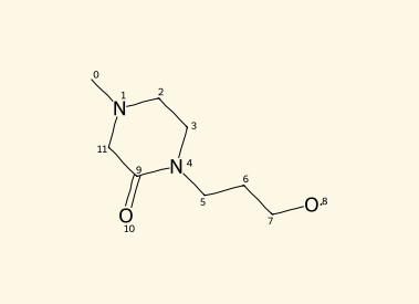 CN1CCN(CCC[O])C(=O)C1